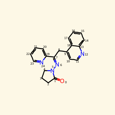 O=C1CCCN1N=C(Cc1ccnc2ccccc12)c1ccccn1